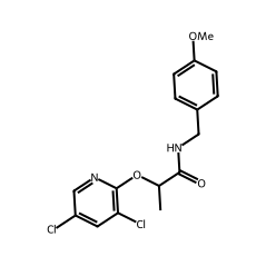 COc1ccc(CNC(=O)C(C)Oc2ncc(Cl)cc2Cl)cc1